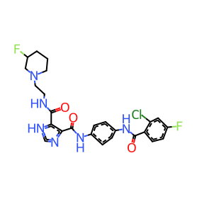 O=C(Nc1ccc(NC(=O)c2nc[nH]c2C(=O)NCCN2CCCC(F)C2)cc1)c1ccc(F)cc1Cl